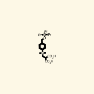 CC(C)[Si](OCc1ccc([Si](C)(C)CC(C(=O)O)C(=O)O)cc1)(C(C)C)C(C)C